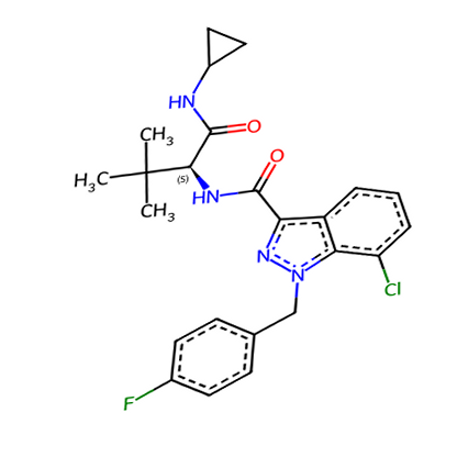 CC(C)(C)[C@H](NC(=O)c1nn(Cc2ccc(F)cc2)c2c(Cl)cccc12)C(=O)NC1CC1